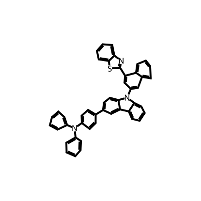 c1ccc(N(c2ccccc2)c2ccc(-c3ccc4c(c3)c3ccccc3n4-c3cc(-c4nc5ccccc5s4)c4ccccc4c3)cc2)cc1